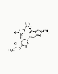 CC(C)Oc1ccc(-c2cc(OC(C)[C@H]3CNC(=O)C3)c3cn(C)nc3c2)cn1